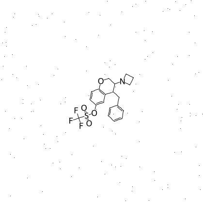 O=S(=O)(Oc1ccc2c(c1)C(Cc1ccccc1)C(N1CCC1)CO2)C(F)(F)F